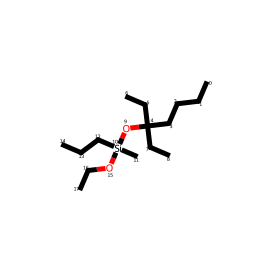 CCCCC(CC)(CC)O[Si](C)(CCC)OCC